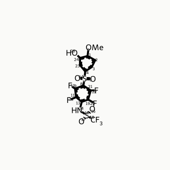 COc1ccc(S(=O)(=O)c2c(F)c(F)c(NS(=O)(=O)C(F)(F)F)c(F)c2F)cc1O